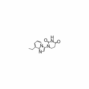 CCc1cccn2c(N3CCC(=O)NC3=O)cnc12